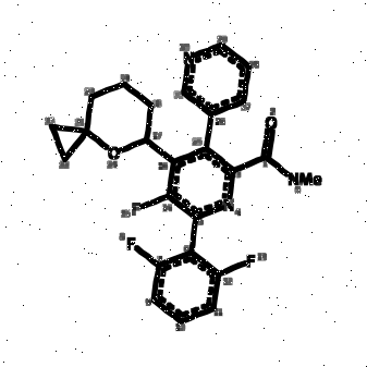 CNC(=O)c1nc(-c2c(F)cccc2F)c(F)c(C2CCCC3(CC3)O2)c1-c1cccnc1